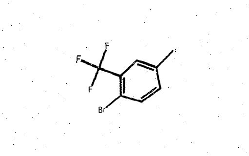 [CH]c1ccc(Br)c(C(F)(F)F)c1